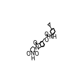 O=C1CCC(N2Cc3ccc(COC(=O)Nc4cccc(C5CC5)c4)cc3C2=O)C(=O)N1